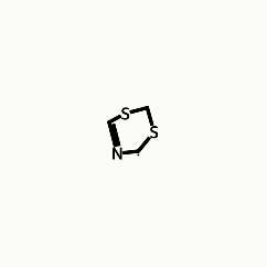 [CH]1N=CSCS1